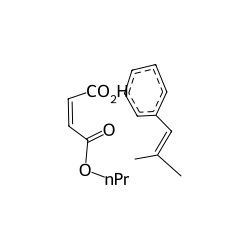 CC(C)=Cc1ccccc1.CCCOC(=O)/C=C\C(=O)O